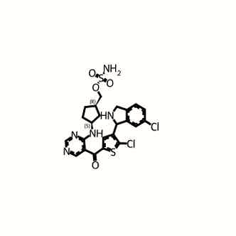 NS(=O)(=O)OC[C@@H]1CC[C@H](Nc2ncncc2C(=O)c2cc(C3NCc4ccc(Cl)cc43)c(Cl)s2)C1